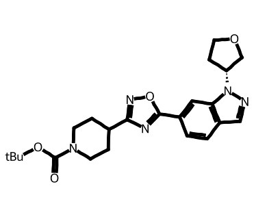 CC(C)(C)OC(=O)N1CCC(c2noc(-c3ccc4cnn([C@@H]5CCOC5)c4c3)n2)CC1